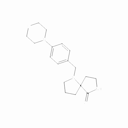 O=C1NCCC12CCCN2Cc1ccc(N2CCOCC2)cc1